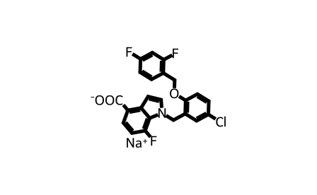 O=C([O-])c1ccc(F)c2c1ccn2Cc1cc(Cl)ccc1OCc1ccc(F)cc1F.[Na+]